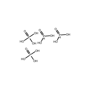 O=P(O)(O)O.O=P(O)(O)O.O=[PH](O)O.O=[PH](O)O